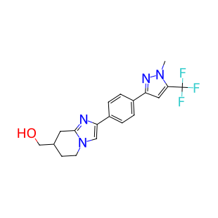 Cn1nc(-c2ccc(-c3cn4c(n3)CC(CO)CC4)cc2)cc1C(F)(F)F